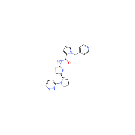 O=C(Nc1nc([C@H]2CCCN2c2cccnn2)cs1)c1cccn1Cc1ccncc1